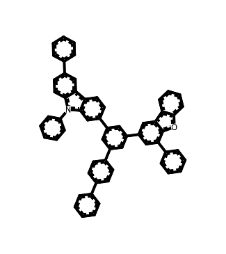 c1ccc(-c2ccc(-c3cc(-c4cc(-c5ccccc5)c5oc6ccccc6c5c4)cc(-c4ccc5c6cc(-c7ccccc7)ccc6n(-c6ccccc6)c5c4)c3)cc2)cc1